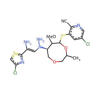 COC1C(Sc2cc(Cl)cnc2C#N)OC(C)COC[C@H]1N(N)/C=C(\N)c1nc(Cl)cs1